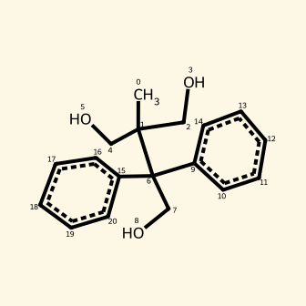 CC(CO)(CO)C(CO)(c1ccccc1)c1ccccc1